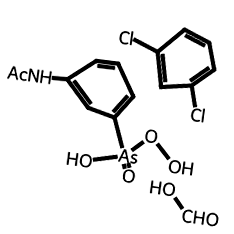 CC(=O)Nc1cccc([As](=O)(O)OO)c1.Clc1cccc(Cl)c1.O=CO